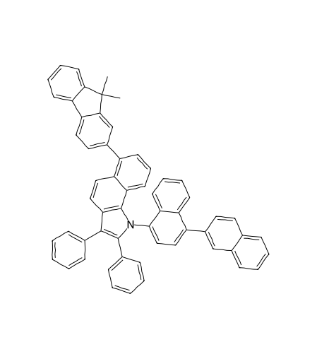 CC1(C)c2ccccc2-c2ccc(-c3cccc4c3ccc3c(-c5ccccc5)c(-c5ccccc5)n(-c5ccc(-c6ccc7ccccc7c6)c6ccccc56)c34)cc21